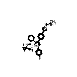 CNC(=O)N1CC(c2ccc(-c3cn(-c4ccc(F)cc4)nc3[C@@H]3CCCC[C@H]3C(=O)NC3(C#N)CC3)cc2)C1